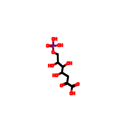 O=C(O)C(=O)CC(O)C(O)C(O)COP(=O)(O)O